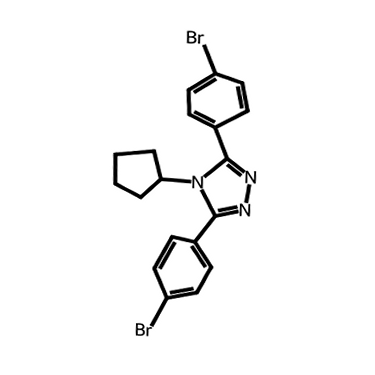 Brc1ccc(-c2nnc(-c3ccc(Br)cc3)n2C2CCCC2)cc1